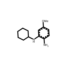 COc1ccc(N)c(NC2CCCCC2)c1